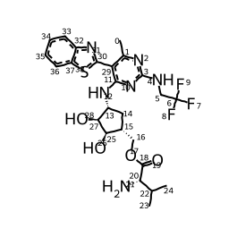 Cc1nc(NCC(F)(F)F)nc(N[C@@H]2C[C@H](COC(=O)[C@@H](N)C(C)C)[C@@H](O)[C@H]2O)c1-c1nc2ccccc2s1